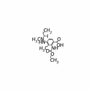 C=CC(I)N(C)Nc1ccc(C(=O)O)c(NC(=O)OCC)c1C